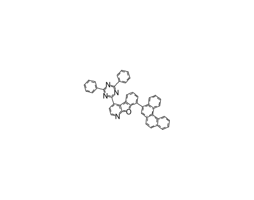 c1ccc(-c2nc(-c3ccccc3)nc(-c3ccnc4oc5c(-c6cc7ccc8ccccc8c7c7ccccc67)cccc5c34)n2)cc1